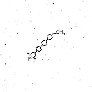 CCCC1CCC(C2CCC(c3ccc(-c4cc(F)c(F)c(F)c4)cc3)CC2)CC1